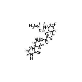 CN1CCN(c2cc(F)cc3c2OC(C(=O)Nc2ccc(N4C=CCNC4=O)cc2)CC3)CC1